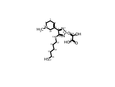 CN1CCC=C(c2nsnc2SCCCCCS)C1.O=C(O)C(=O)O